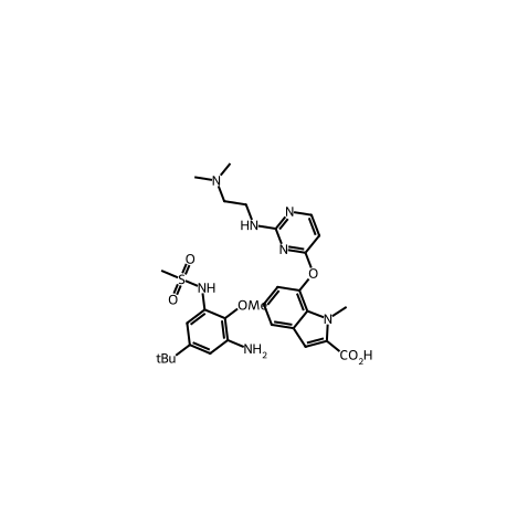 CN(C)CCNc1nccc(Oc2cccc3cc(C(=O)O)n(C)c23)n1.COc1c(N)cc(C(C)(C)C)cc1NS(C)(=O)=O